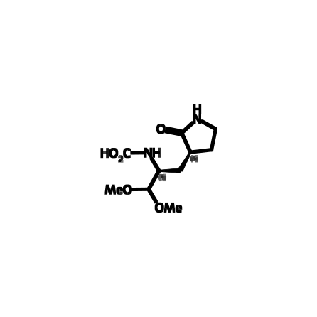 COC(OC)[C@H](C[C@@H]1CCNC1=O)NC(=O)O